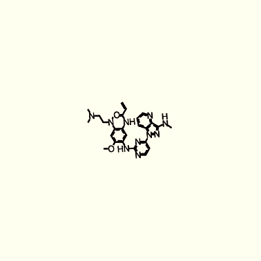 C=CC(=O)Nc1cc(Nc2nccc(-n3nc(NC)c4ncccc43)n2)c(OC)cc1N(C)CCN(C)C